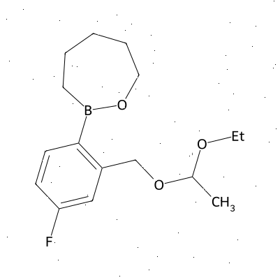 CCOC(C)OCc1cc(F)ccc1B1CCCCCO1